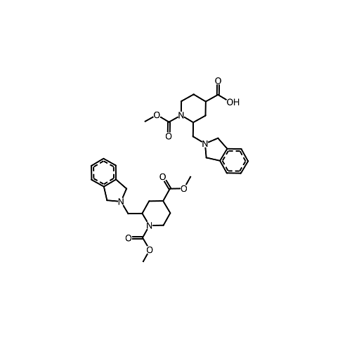 COC(=O)C1CCN(C(=O)OC)C(CN2Cc3ccccc3C2)C1.COC(=O)N1CCC(C(=O)O)CC1CN1Cc2ccccc2C1